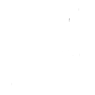 CCCCCC1CCC(C2CCC(CC[C@H]3CC[C@H](CCC)CC3)(C(=O)OC)CC2)CC1